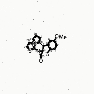 COc1ccc2c(c1)[C@H](c1cccs1)[C@@]1(C2)C(=O)N1c1nccs1